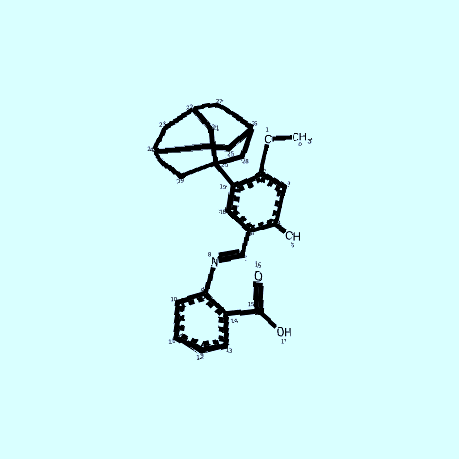 COc1cc(O)c(C=Nc2ccccc2C(=O)O)cc1C12CC3CC(CC(C3)C1)C2